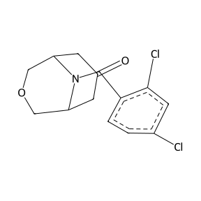 O=C1CC2COCC(C1)N2Cc1ccc(Cl)cc1Cl